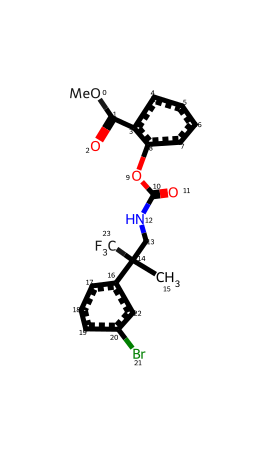 COC(=O)c1ccccc1OC(=O)NCC(C)(c1cccc(Br)c1)C(F)(F)F